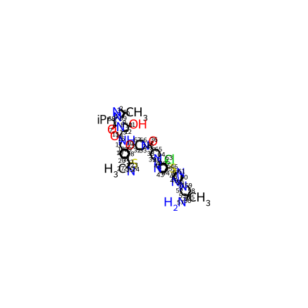 Cc1cnn([C@@H](C(=O)N2C[C@H](O)C[C@H]2C(=O)NCc2ccc(-c3scnc3C)cc2OC2CCN(C(=O)C3CCN(c4nccc(Sc5cnc(N6CCC(C)(CN)CC6)cn5)c4Cl)CC3)CC2)C(C)C)c1